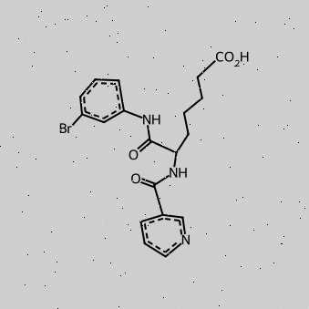 O=C(O)CCCCC(NC(=O)c1cccnc1)C(=O)Nc1cccc(Br)c1